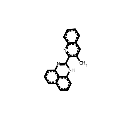 Cc1cc2ccccc2nc1C1=Nc2cccc3cccc(c23)N1